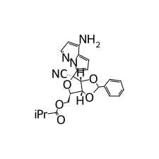 CC(C)C(=O)OC[C@H]1O[C@@](C#N)(c2ccc3c(N)ccnn23)[C@@H]2OC(c3ccccc3)O[C@@H]21